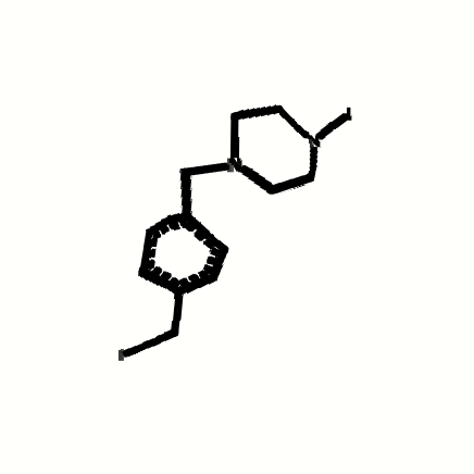 ICc1ccc(CN2CCN(I)CC2)cc1